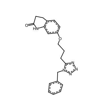 O=C1CCc2ccc(OCCCc3nnnn3Cc3ccccc3)cc2N1